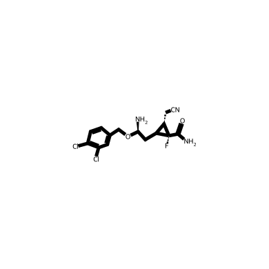 N#CC[C@H]1C(C[C@H](N)OCc2ccc(Cl)c(Cl)c2)[C@]1(F)C(N)=O